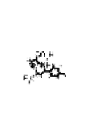 Cc1ccc([C@@H]2C[C@H](C(F)(F)F)n3ncc(C(=O)O)c3N2)cc1